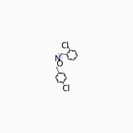 Clc1ccc(CO/N=[C]\c2ccccc2Cl)cc1